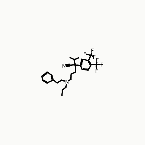 CCCN(CCCC(C#N)(c1ccc(C(F)(F)F)c(C(F)(F)F)c1)C(C)C)CCc1ccccc1